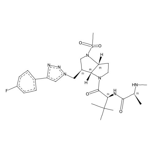 CN[C@@H](C)C(=O)N[C@H](C(=O)N1CC[C@@H]2[C@H]1[C@@H](Cn1cc(-c3ccc(F)cc3)nn1)CN2S(C)(=O)=O)C(C)(C)C